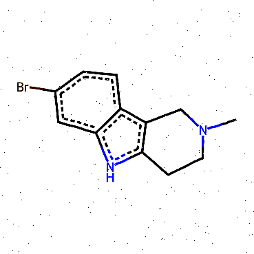 CN1CCc2[nH]c3cc(Br)ccc3c2C1